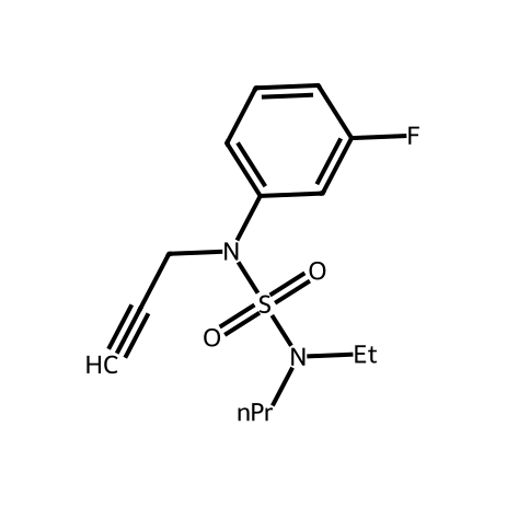 C#CCN(c1cccc(F)c1)S(=O)(=O)N(CC)CCC